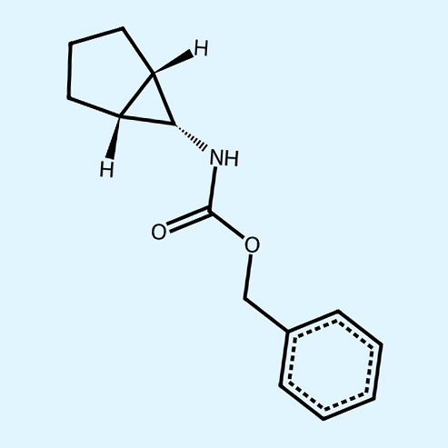 O=C(N[C@@H]1[C@@H]2CCC[C@@H]21)OCc1ccccc1